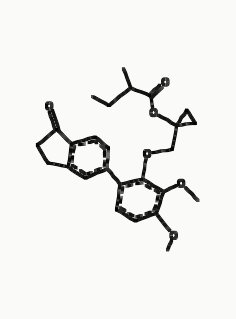 CCC(C)C(=O)OC1(COc2c(-c3ccc4c(c3)CCC4=O)ccc(OC)c2OC)CC1